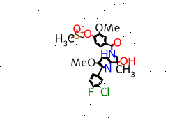 COc1cc(C(=O)NCC(C)(O)c2ccc(OC)c(-c3ccc(F)c(Cl)c3)n2)ccc1OC[S+](C)[O-]